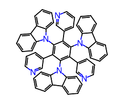 c1cncc(-c2c(-n3c4ccccc4c4ccccc43)c(-c3cccnc3)c(-n3c4ccccc4c4ccccc43)c(-c3cccnc3)c2-n2c3ccccc3c3ccccc32)c1